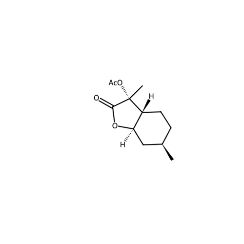 CC(=O)O[C@@]1(C)C(=O)O[C@@H]2C[C@H](C)CC[C@H]21